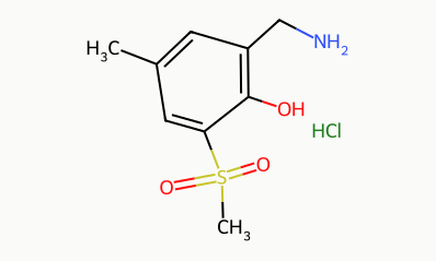 Cc1cc(CN)c(O)c(S(C)(=O)=O)c1.Cl